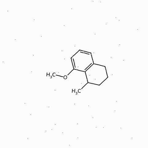 COc1cccc2c1C(C)CCC2